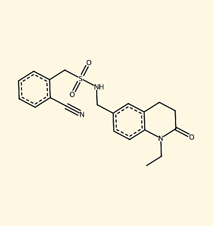 CCN1C(=O)CCc2cc(CNS(=O)(=O)Cc3ccccc3C#N)ccc21